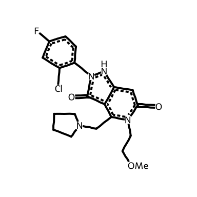 COCCn1c(CN2CCCC2)c2c(=O)n(-c3ccc(F)cc3Cl)[nH]c2cc1=O